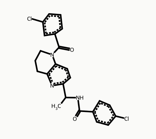 CC(NC(=O)c1ccc(Cl)cc1)c1ccc2c(n1)CCCN2C(=O)c1cccc(Cl)c1